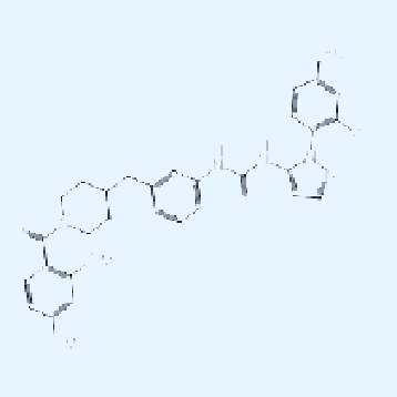 COc1ccc(C(=O)N2CCC(Cc3cccc(NC(=O)Nc4ccnn4-c4ccc(C(C)(C)C)cc4C)c3)CC2)c(OC)c1